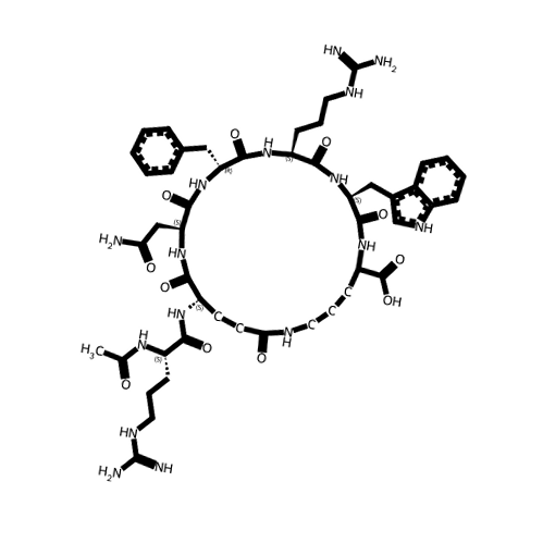 CC(=O)N[C@@H](CCCNC(=N)N)C(=O)N[C@H]1CCC(=O)NCCCC(C(=O)O)NC(=O)[C@H](Cc2c[nH]c3ccccc23)NC(=O)[C@H](CCCNC(=N)N)NC(=O)[C@@H](Cc2ccccc2)NC(=O)[C@H](CC(N)=O)NC1=O